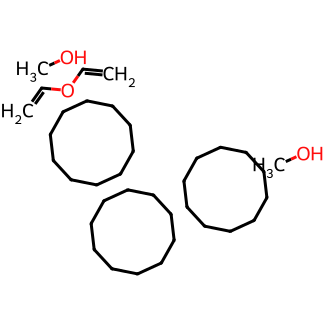 C1CCCCCCCCC1.C1CCCCCCCCC1.C1CCCCCCCCC1.C=COC=C.CO.CO